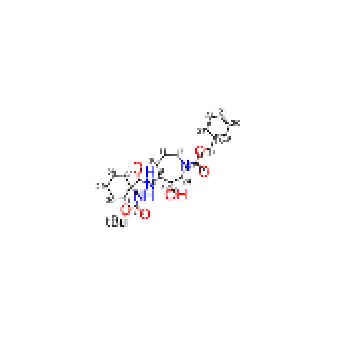 CC(C)(C)OC(=O)NC1(C(=O)NC2CCCN(C(=O)OCc3ccccc3)CC2O)CCCCC1